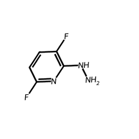 NNc1nc(F)ccc1F